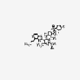 CCCc1nccc2sc(-c3c(C)nc(NC4CC4)nc3N[C@@H]3C[C@H](CS(=O)(=O)c4ccc(F)cc4)[C@@H](O)[C@H]3O)nc12